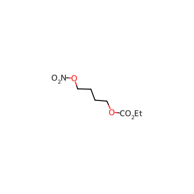 [CH2]COC(=O)OCCCCO[N+](=O)[O-]